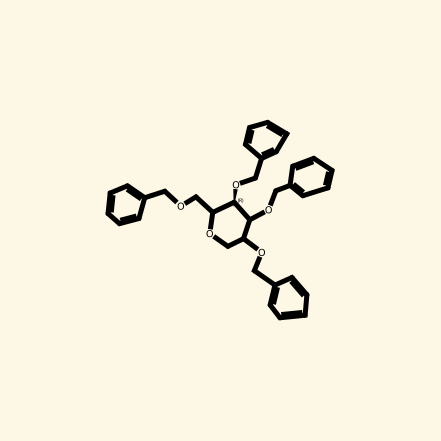 c1ccc(COCC2OCC(OCc3ccccc3)C(OCc3ccccc3)[C@@H]2OCc2ccccc2)cc1